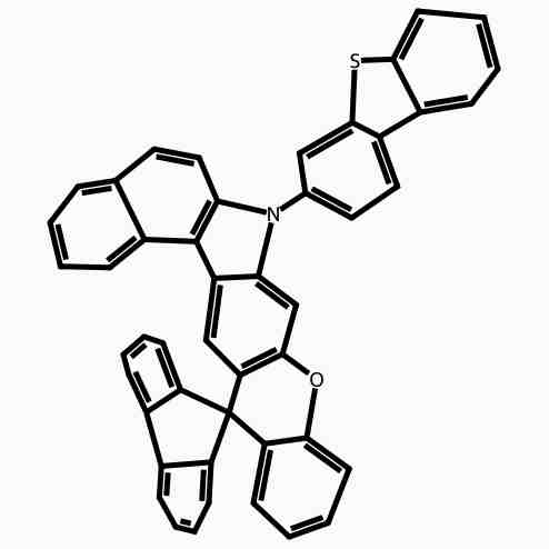 c1ccc2c(c1)Oc1cc3c(cc1C21c2ccccc2-c2ccccc21)c1c2ccccc2ccc1n3-c1ccc2c(c1)sc1ccccc12